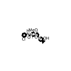 COC[C@H](CCN1CCC2(CC2)[C@H](O)C1)N1CCN(C(=O)Nc2cccc(Cl)c2)[C@@H](C)C1=O